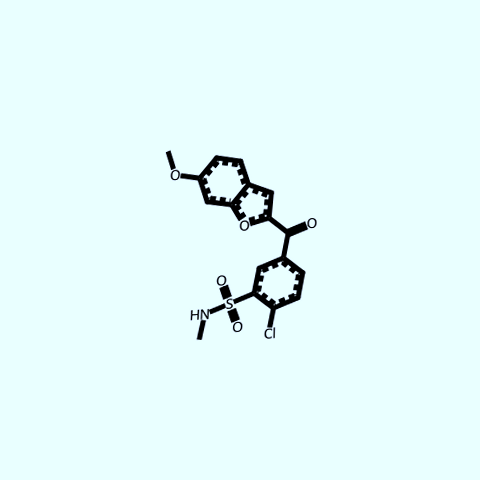 CNS(=O)(=O)c1cc(C(=O)c2cc3ccc(OC)cc3o2)ccc1Cl